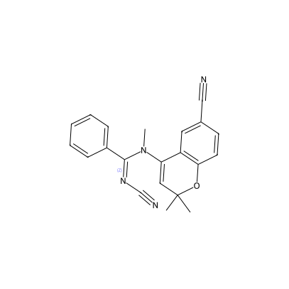 CN(C1=CC(C)(C)Oc2ccc(C#N)cc21)/C(=N\C#N)c1ccccc1